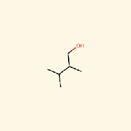 C[C](C)C(C)CO